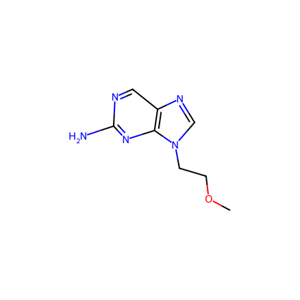 COCCn1cnc2cnc(N)nc21